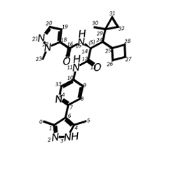 Cc1n[nH]c(C)c1-c1ccc(NC(=O)[C@@H](NC(=O)c2ccnn2C)C(C2CCC2)C2(C)CC2)cn1